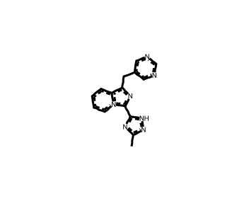 Cc1n[nH]c(-c2nc(Cc3cncnc3)c3ccccn23)n1